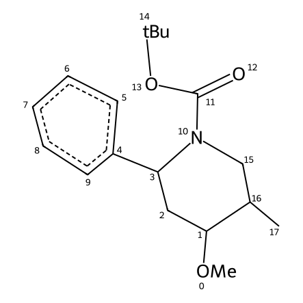 COC1CC(c2ccccc2)N(C(=O)OC(C)(C)C)CC1C